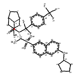 CN([C@H](C(=O)N1C2CCC1CC(N)C2)C(F)(F)c1ccc(C(F)(F)F)cc1)S(=O)(=O)c1ccc2cc(OC3CCCC3)ccc2c1